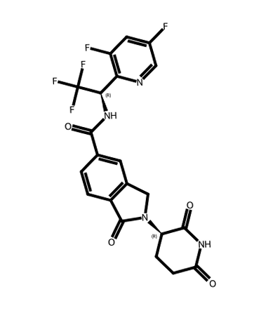 O=C1CC[C@@H](N2Cc3cc(C(=O)N[C@H](c4ncc(F)cc4F)C(F)(F)F)ccc3C2=O)C(=O)N1